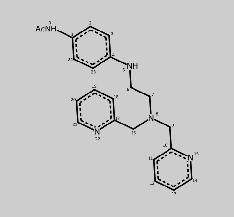 CC(=O)Nc1ccc(NCCN(Cc2ccccn2)Cc2ccccn2)cc1